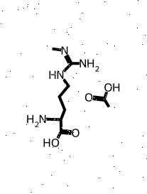 CC(=O)O.CN=C(N)NCCCC(N)C(=O)O